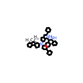 CC1(C)c2ccccc2-c2ccc(N(c3ccc(-c4ccccc4)cc3)c3ccc4c(c3)/C(=C(/C(=N)c3ccccc3)c3ccccc3)NC(c3ccccc3)=C4)cc21